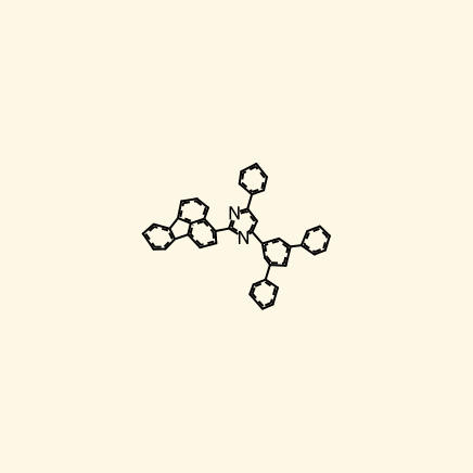 c1ccc(-c2cc(-c3ccccc3)cc(-c3cc(-c4ccccc4)nc(-c4ccc5c6c(cccc46)-c4ccccc4-5)n3)c2)cc1